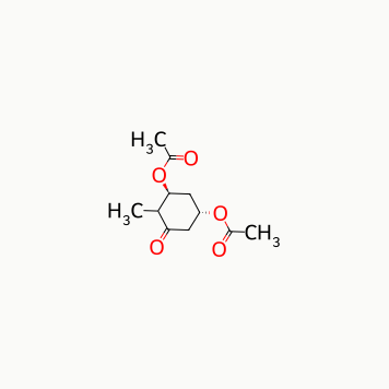 CC(=O)O[C@@H]1CC(=O)C(C)[C@@H](OC(C)=O)C1